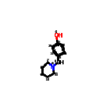 Oc1ccc(BN2CCCCC2)cc1